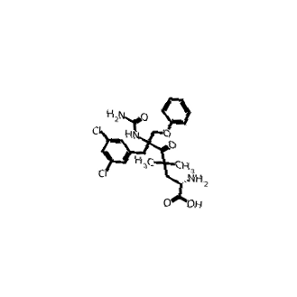 CC(C)(C[C@H](N)C(=O)O)C(=O)C(COc1ccccc1)(Cc1cc(Cl)cc(Cl)c1)NC(N)=O